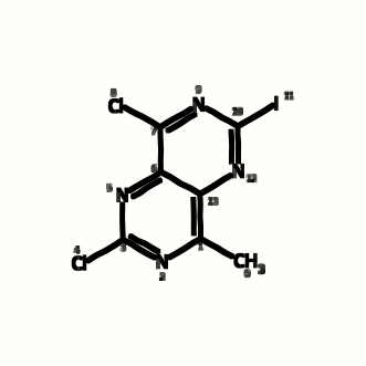 Cc1nc(Cl)nc2c(Cl)nc(I)nc12